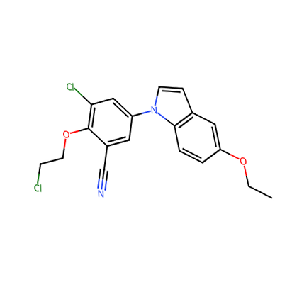 CCOc1ccc2c(ccn2-c2cc(Cl)c(OCCCl)c(C#N)c2)c1